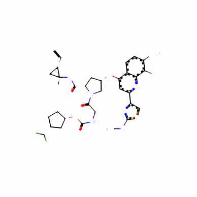 C=C[C@@H]1C[C@]1(NC(=O)[C@@H]1C[C@@H](Oc2cc(-c3csc(NC(C)C)n3)nc3c(Cl)c(OC)ccc23)CN1C(=O)[C@@H](NC(=O)O[C@@H]1CC[C@@H](C(F)F)C1)C(C)(C)C)C(=O)O